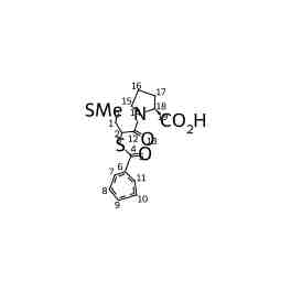 CSCC(SC(=O)c1ccccc1)C(=O)N1CCC[C@H]1C(=O)O